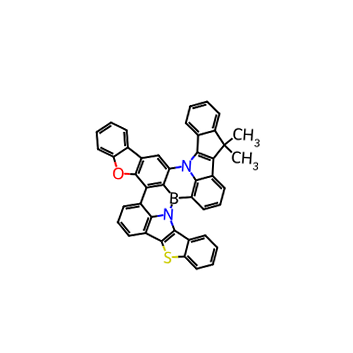 CC1(C)c2ccccc2-c2c1c1cccc3c1n2-c1cc2c(oc4ccccc42)c2c1B3n1c3c-2cccc3c2sc3ccccc3c21